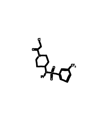 CC(C)N(C1CCN(C(=O)CCl)CC1)S(=O)(=O)c1cccc(C(F)(F)F)c1